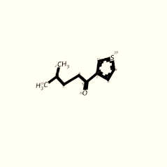 CC(C)CCC(=O)c1ccsc1